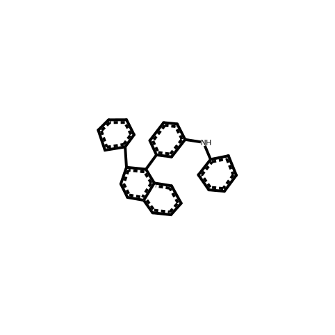 c1ccc(Nc2cccc(-c3c(-c4ccccc4)ccc4ccccc34)c2)cc1